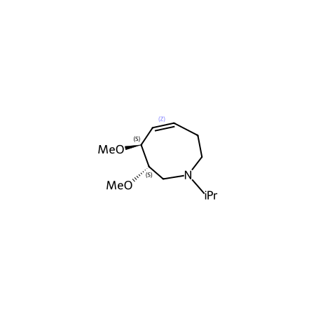 CO[C@H]1/C=C\CCN(C(C)C)C[C@@H]1OC